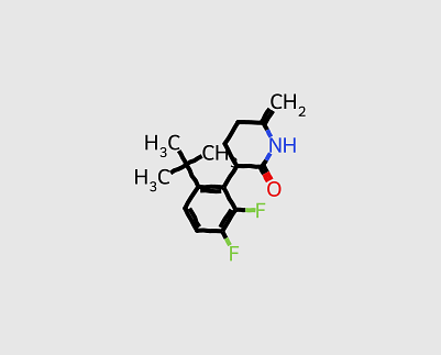 C=C1CCC(c2c(C(C)(C)C)ccc(F)c2F)C(=O)N1